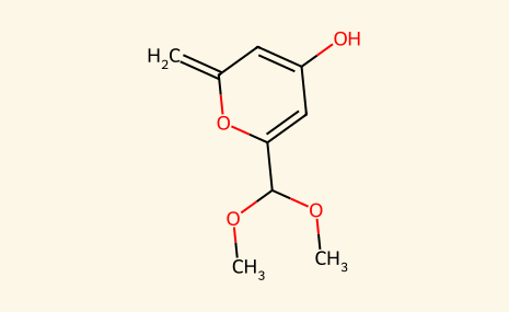 C=C1C=C(O)C=C(C(OC)OC)O1